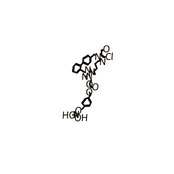 CCCCc1nc(Cl)c(C=O)n1Cc1ccc(-c2ccccc2-c2nnn(COC(=O)OCc3ccc(CON(O)O)cc3)n2)cc1